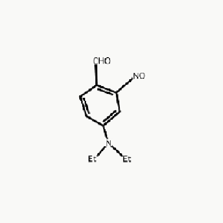 CCN(CC)c1ccc(C=O)c(N=O)c1